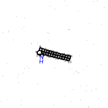 C1C2C3NCC3C34C1CC3C1C3C5C6C7C8C9C%10C%11C%12C%13CC%14CC%15C%16C%17C%18C%19C%20C%21C%22C%23C%24C2C14C%243C%235C%226C%217C%208C%199C%18%10C%17%11C%16%12C%14%15%13